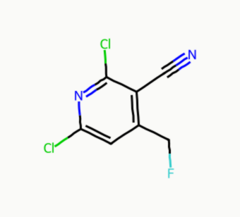 N#Cc1c(CF)cc(Cl)nc1Cl